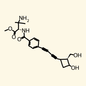 COC(=O)[C@@H](NC(=O)c1ccc(C#CC#CC2CC(O)[C@@H]2CO)cc1)C(C)(C)N